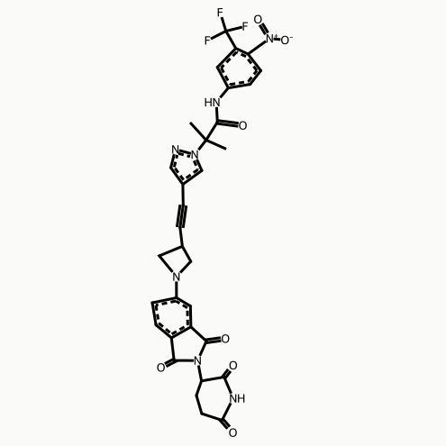 CC(C)(C(=O)Nc1ccc([N+](=O)[O-])c(C(F)(F)F)c1)n1cc(C#CC2CN(c3ccc4c(c3)C(=O)N(C3CCC(=O)NC3=O)C4=O)C2)cn1